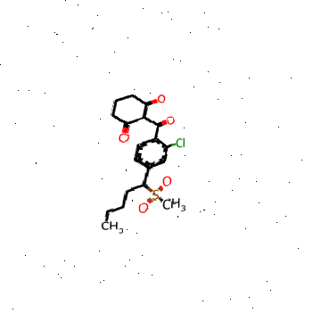 CCCCC(c1ccc(C(=O)C2C(=O)CCCC2=O)c(Cl)c1)S(C)(=O)=O